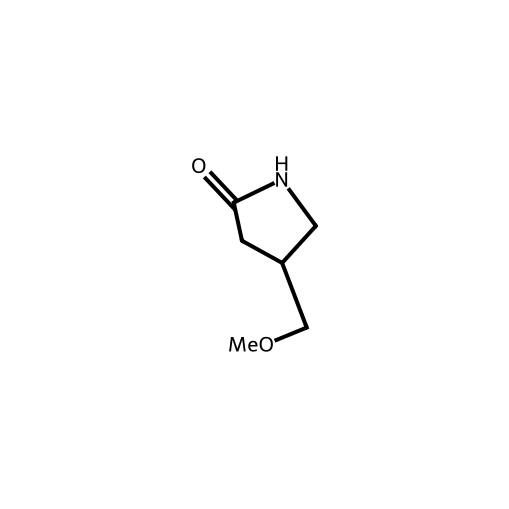 COCC1CNC(=O)C1